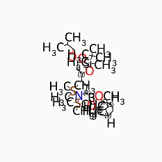 CC(C)COC(=O)C[C@H](CC[C@@H](B1O[C@@H]2C[C@@H]3C[C@@H](C3(C)C)[C@]2(C)O1)N(S(C)(C)C)S(C)(C)C)O[Si](C)(C)C(C)(C)C